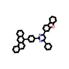 c1ccc(-c2cc(-c3ccc4c(c3)oc3ccccc34)nc(-c3ccc(-c4c5ccccc5cc5c4ccc4ccccc45)cc3)n2)cc1